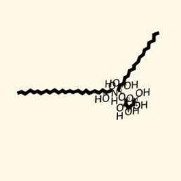 CCCCCCCCCCCCCCCCCCCCCC[C@@H](O)C(=O)N[C@@H](CO[C@H]1O[C@H](CO)[C@H](O)[C@H](O)[C@H]1O)[C@H](O)[C@H](O)CCCCCCCCCCCCCC